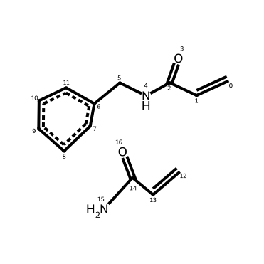 C=CC(=O)NCc1ccccc1.C=CC(N)=O